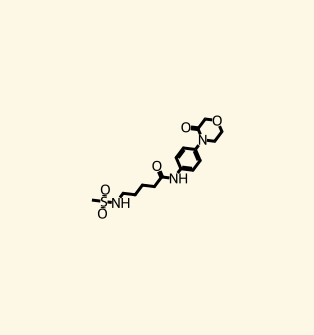 CS(=O)(=O)NCCCCC(=O)Nc1ccc(N2CCOCC2=O)cc1